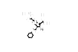 [C-]#[N+]c1c(C(=O)Oc2ccccc2)c2nc(C(=O)OC)nn2c1=C(C)C